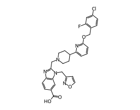 O=C(O)c1ccc2nc(CN3CCC(c4cccc(OCc5ccc(Cl)cc5F)n4)CC3)n(Cc3ccon3)c2c1